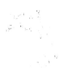 Cc1ccc(N(C)CCCc2sc(NC(=O)[C@@H]3C[C@@H]4CC[C@H]3C4)c(C#N)c2C)cc1